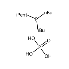 CCCCP(CCCC)C(C)CCC.O=P(O)(O)O